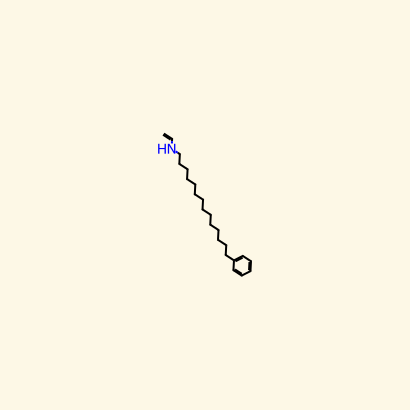 C=CNCCCCCCCCCCCCCCc1ccccc1